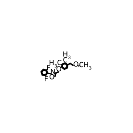 CCOCCc1ccc(OCC2COC(c3c(F)cccc3F)=N2)c(C)c1C